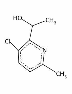 Cc1ccc(Cl)c(C(C)O)n1